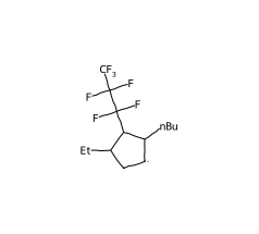 [CH2]CC1C[CH]C(CCCC)C1C(F)(F)C(F)(F)C(F)(F)F